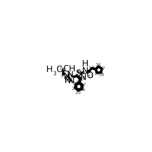 CC(C)Cn1nnc(-c2sc(NC(=O)CC3CCCC3)nc2-c2ccccc2)n1